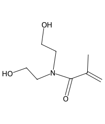 C=C(C)C(=O)N(CCO)CCO